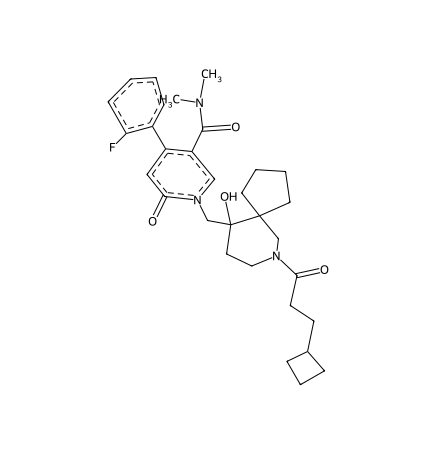 CN(C)C(=O)c1cn(CC2(O)CCN(C(=O)CCC3CCC3)CC23CCCC3)c(=O)cc1-c1ccccc1F